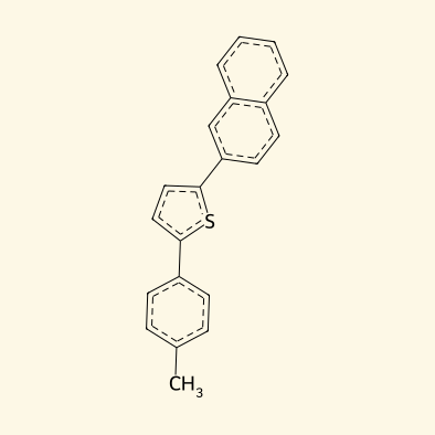 Cc1ccc(-c2ccc(-c3ccc4ccccc4c3)s2)cc1